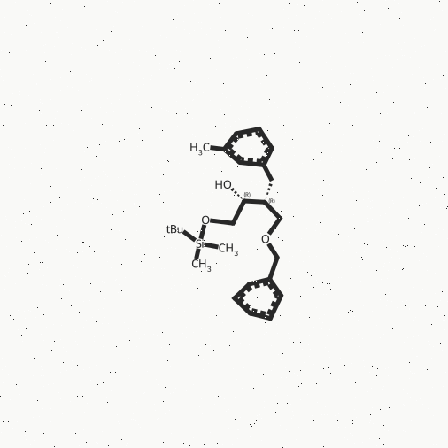 Cc1cccc(C[C@H](COCc2ccccc2)[C@@H](O)CO[Si](C)(C)C(C)(C)C)c1